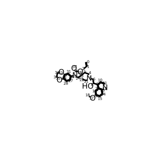 C=CC[C@@H]1CN(C[C@H](O)c2ccnc3ccc(OC)cc23)CC[C@@]12CN(c1ccc3c(c1)OCCO3)C(=O)O2